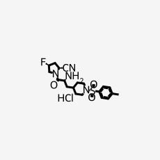 Cc1ccc(S(=O)(=O)N2CCC(C[C@H](N)C(=O)N3C[C@@H](F)C[C@H]3C#N)CC2)cc1.Cl